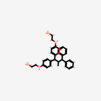 CC(C(c1ccccc1)c1ccccc1)C(c1ccc(OCCO)cc1)c1ccc(OCCO)cc1